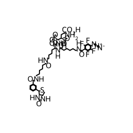 [N-]=[N+]=Nc1c(F)c(F)c(C(=O)NCCCCCC(=O)NC(CCCCNC(=O)CCCCCNC(=O)c2cccc(C3SCC4NC(=O)NC43)c2)C(=O)NC(C(CC(N)C(=O)O)[SH](=O)=O)[SH](=O)=O)c(F)c1F